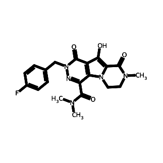 CN(C)C(=O)c1nn(Cc2ccc(F)cc2)c(=O)c2c(O)c3n(c12)CCN(C)C3=O